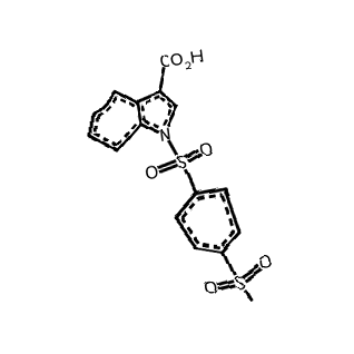 CS(=O)(=O)c1ccc(S(=O)(=O)n2cc(C(=O)O)c3ccccc32)cc1